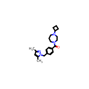 Cc1cc(C)n(Cc2ccc(C(=O)N3CCCN(C4CCC4)CC3)cc2)n1